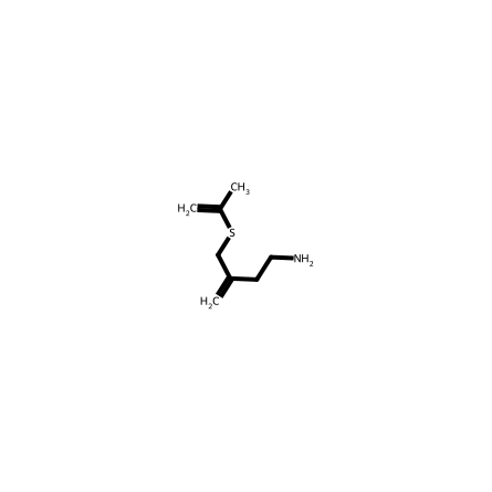 C=C(CCN)CSC(=C)C